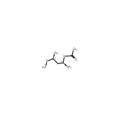 CO[C@@H](C)C[C@H](C)OC(C)=O